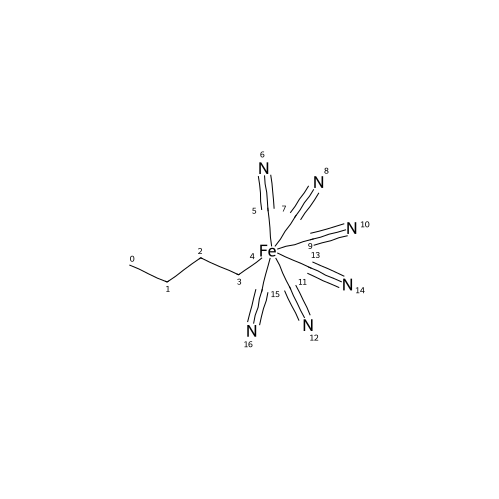 CCC[CH2][Fe]([C]#N)([C]#N)([C]#N)([C]#N)([C]#N)[C]#N